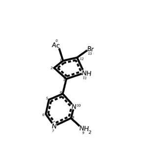 CC(=O)c1cc(-c2ccnc(N)n2)[nH]c1Br